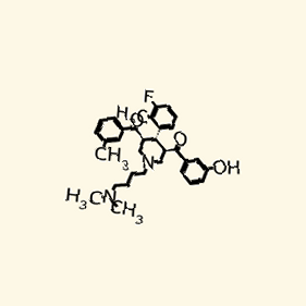 Cc1cccc(C(=O)[C@@H]2CN(CCCCN(C)C)C[C@H](C(=O)c3cccc(O)c3)[C@H]2c2cccc(F)c2C)c1